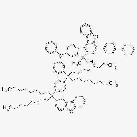 CCCCCCCCC1(CCCCCCCC)c2cc(N(c3ccccc3)C3C=C4C(=CC3)c3c(cc(-c5ccc(-c6ccccc6)cc5)c5oc6ccccc6c35)C4(C)C)ccc2-c2cc3c(cc21)-c1c(ccc2oc4ccccc4c12)C3(CCCCCCCC)CCCCCCCC